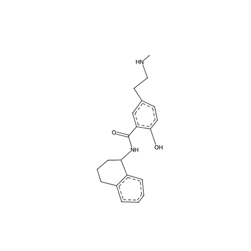 CNCCc1ccc(O)c(C(=O)NC2CCCc3ccccc32)c1